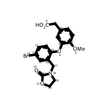 COc1ccc(CC(=O)O)cc1Oc1ccc(Br)cc1CN1CCOC1=O